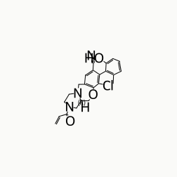 C=CC(=O)N1CCN2Cc3cc(C#N)c(-c4c(C)cccc4O)c(Cl)c3OC[C@H]2C1